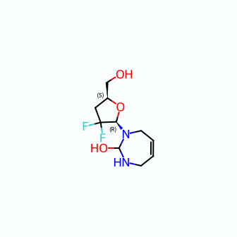 OC[C@@H]1CC(F)(F)[C@H](N2CC=CCNC2O)O1